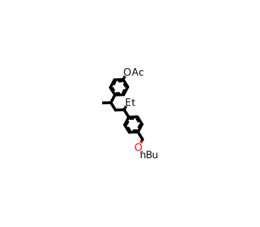 CCCCOCc1ccc(C(CC)CC(C)c2ccc(OC(C)=O)cc2)cc1